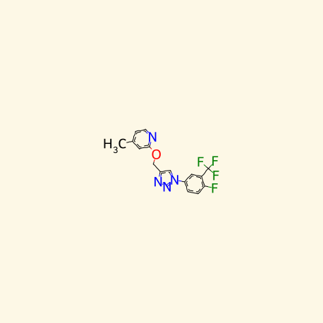 Cc1ccnc(OCc2cn(-c3ccc(F)c(C(F)(F)F)c3)nn2)c1